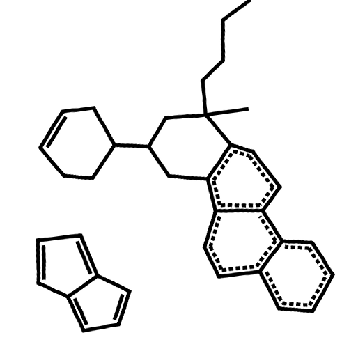 C1=CC2=CC=CC2=C1.CCCCC1(C)CC(C2CC=CCC2)Cc2c1ccc1c2ccc2ccccc21